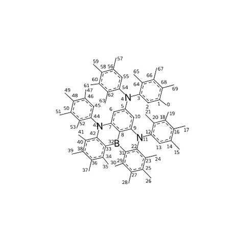 Cc1cc(N(c2cc3c4c(c2)N(c2cc(C)c(C)c(C)c2C)c2c(C)c(C)c(C)c(C)c2B4c2c(C)c(C)c(C)c(C)c2N3c2cc(C)c(C)c(C)c2C)c2cc(C)c(C)c(C)c2C)c(C)c(C)c1C